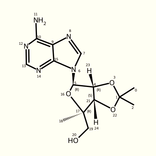 CC1(C)O[C@H]2[C@H](n3cnc4c(N)ncnc43)O[C@](C)(CO)[C@H]2O1